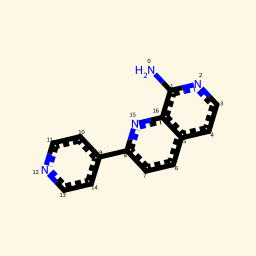 Nc1nccc2ccc(-c3ccncc3)nc12